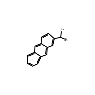 CCC(CC)c1ccc2cc3ccccc3cc2c1